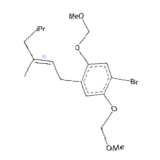 COCOc1cc(C/C=C(\C)CC(C)C)c(OCOC)cc1Br